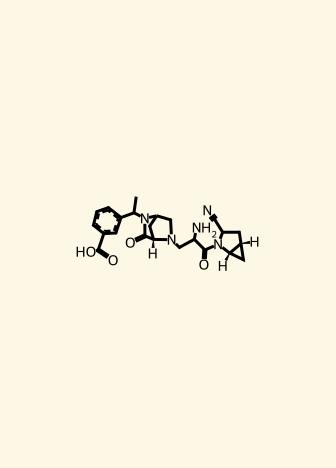 CC(c1cccc(C(=O)O)c1)N1C(=O)[C@@H]2CC1CN2CC(N)C(=O)N1C(C#N)C[C@@H]2C[C@@H]21